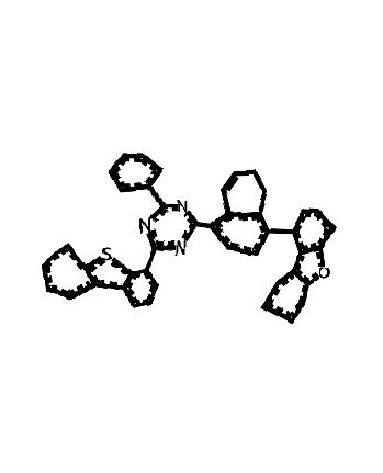 C1=Cc2c(-c3nc(-c4ccccc4)nc(-c4cccc5c4sc4ccccc45)n3)ccc(-c3cccc4oc5ccccc5c34)c2CC1